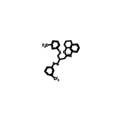 FC(F)(F)c1cccc(SSC(C/C(=N/c2ccccc2)OC2CCCCC2)SSc2cccc(C(F)(F)F)c2)c1